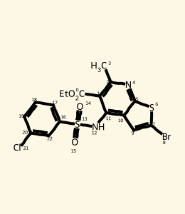 CCOC(=O)c1c(C)nc2sc(Br)cc2c1NS(=O)(=O)c1cccc(Cl)c1